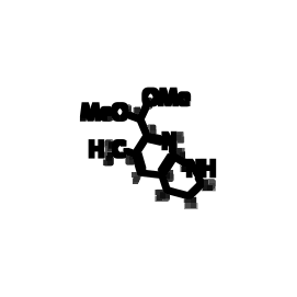 COC(OC)c1nc2c(cc1C)CCCN2